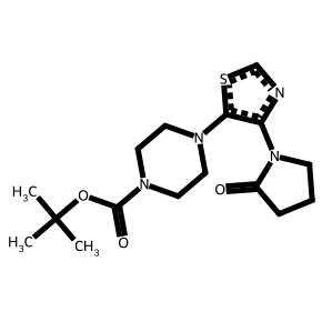 CC(C)(C)OC(=O)N1CCN(c2scnc2N2CCCC2=O)CC1